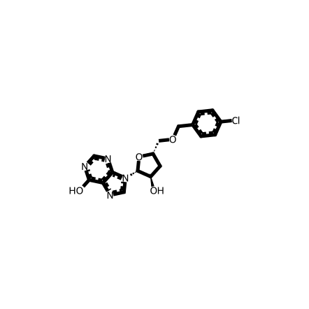 Oc1ncnc2c1ncn2[C@@H]1O[C@H](COCc2ccc(Cl)cc2)C[C@H]1O